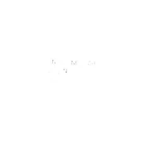 C#CCNc1cnc2ccccc2n1